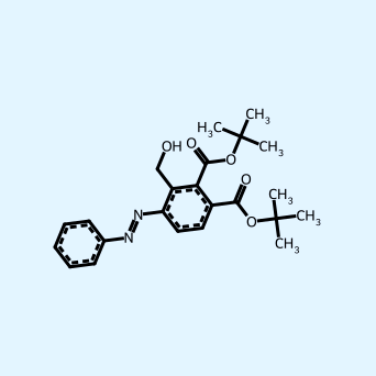 CC(C)(C)OC(=O)c1ccc(N=Nc2ccccc2)c(CO)c1C(=O)OC(C)(C)C